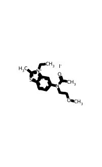 CC[n+]1c(C)sc2ccc(N(CCOC)C(C)=O)cc21.[I-]